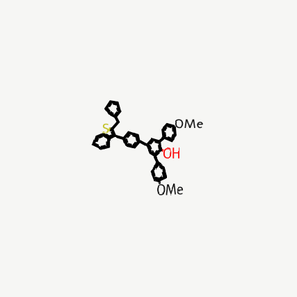 COc1ccc(-c2cc(-c3ccc(-c4c(Cc5ccccc5)sc5ccccc45)cc3)cc(-c3ccc(OC)cc3)c2O)cc1